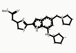 COC(=O)CC1CSC(c2cc3cc(CN4CCCC4)cc(NC4CCCC4)c3[nH]2)=N1